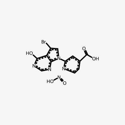 O=C(O)c1ccnc(-n2cc(Br)c3c(O)ncnc32)c1.O=NO